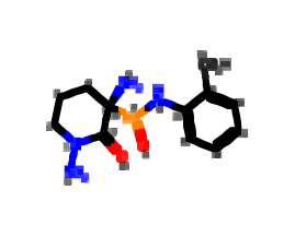 NN1CCC[C@](N)([PH](=O)Nc2ccccc2C(=O)O)C1=O